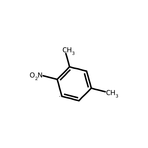 Cc1c[c]c([N+](=O)[O-])c(C)c1